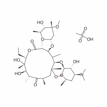 CC[C@H]1OC(=O)[C@H](C)[C@@H](O[C@H]2C[C@@](C)(OC)[C@@H](O)[C@H](C)O2)C(C)[C@@H](O[C@@H]2O[C@H](C)C[C@H](N(C)C)[C@H]2O)[C@](C)(OC)C[C@@H](C)C(=O)[C@H](C)[C@@H](O)[C@]1(C)O.CS(=O)(=O)O